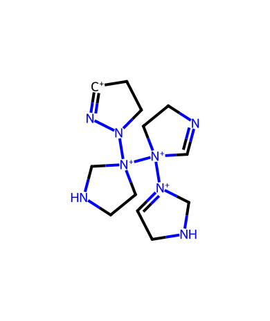 [C+]1=NN([N+]2([N+]3([N+]4=CCNC4)C=NCC3)CCNC2)CC1